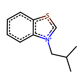 CC(C)C[n+]1csc2ccccc21